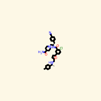 Cc1ccc([C@@H](C)NCc2ccc(-c3ccc(Cl)c(C(=O)N[C@H](Cc4ccc(C#N)cc4)CN4CCC(C(N)=O)CC4)c3)o2)cc1